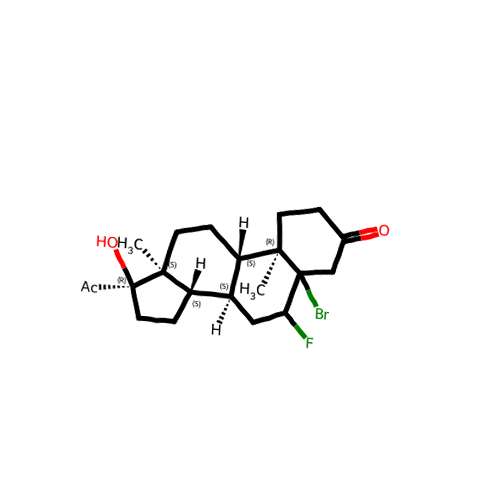 CC(=O)[C@@]1(O)CC[C@H]2[C@@H]3CC(F)C4(Br)CC(=O)CC[C@]4(C)[C@H]3CC[C@@]21C